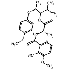 COc1ccc(O[C@@H](C)C(OC(=O)[C@H](C)NC(=S)c2nccc(OC)c2O)C(C)C)cc1